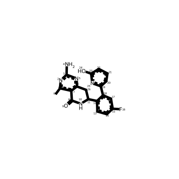 Cc1nc(N)nc2c1C(=O)NC(c1ccc(F)cc1-c1cccc(O)n1)C2